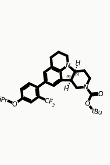 CC(C)Oc1ccc(-c2cc3c4c(c2)[C@@H]2CN(C(=O)OC(C)(C)C)CC[C@@H]2N4CCC3)c(C(F)(F)F)c1